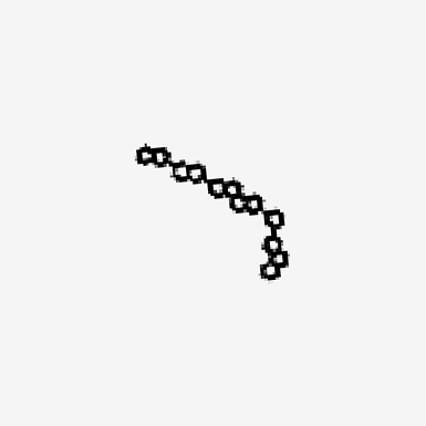 C1=Cc2ccc3cc(-c4cccc(-c5ccc6c(ccc7c8ccc(C9=CC%10C=CC(c%11ccc%12ccccc%12c%11)=CC%10C=C9)cc8ccc67)c5)c4)ccc3c2CC1